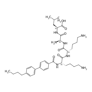 CCCCc1ccc(-c2ccc(C(=O)N[C@@H](CCCCN)C(=O)N[C@@H](CCCCN)C(=O)N[C@@H](N)C(=O)N[C@@H](CC(C)C)C(=O)O)cc2)cc1